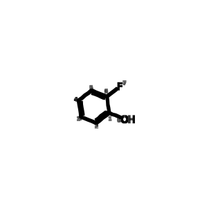 Oc1c[c]ccc1F